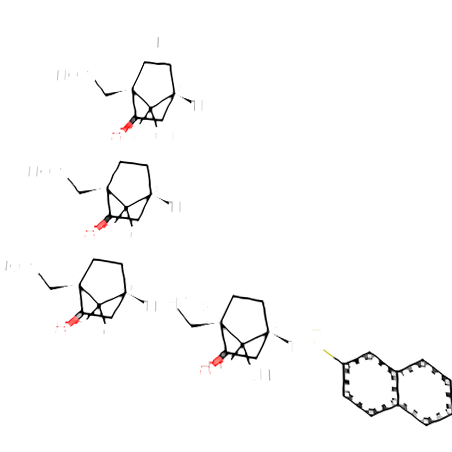 CC1(C)[C@@H]2CC[C@@]1(CS(=O)(=O)O)C(=O)C2.CC1(C)[C@@H]2CC[C@@]1(CS(=O)(=O)O)C(=O)C2.CC1(C)[C@@H]2CC[C@@]1(CS(=O)(=O)O)C(=O)C2.CC1(C)[C@@H]2CC[C@@]1(CS(=O)(=O)O)C(=O)C2.Sc1ccc2ccccc2c1.[Ti]